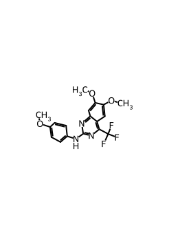 COc1ccc(Nc2nc(C(F)(F)F)c3cc(OC)c(OC)cc3n2)cc1